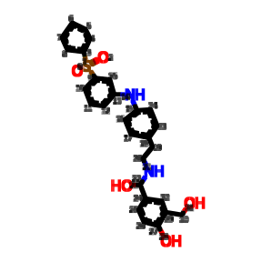 O=S(=O)(c1ccccc1)c1cccc(Nc2ccc(CCNC(O)c3ccc(O)c(CO)c3)cc2)c1